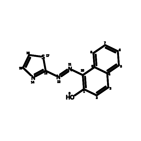 Oc1ccc2ccccc2c1N=Nc1nccs1